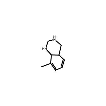 CC1=CC=CC2CNCNC12